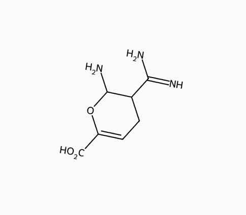 N=C(N)C1CC=C(C(=O)O)OC1N